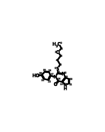 CCOCCCSc1nc2cc[nH]c2c(=O)n1-c1ccc(O)cc1